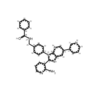 Nc1ncccc1-c1nc2cc(-c3cccnc3)cnc2n1-c1ccc(CNC(=O)c2ccccc2)cc1